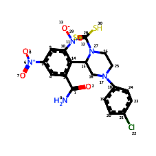 NC(=O)c1cc([N+](=O)[O-])cc([N+](=O)[O-])c1C1CN(c2ccc(Cl)cc2)CCN1C(=S)S